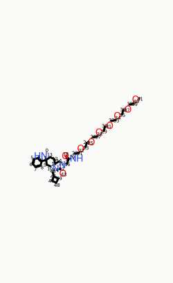 CN[C@]1(c2ccccc2)CC[C@]2(CC1)CN(CC(=O)NCCOCCOCCOCCOCCOCCOCCOC)C(=O)N2CC1CCC1